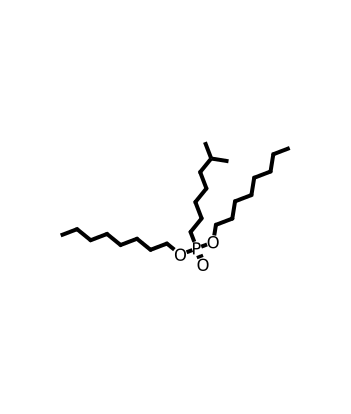 CCCCCCCCOP(=O)(CCCCCC(C)C)OCCCCCCCC